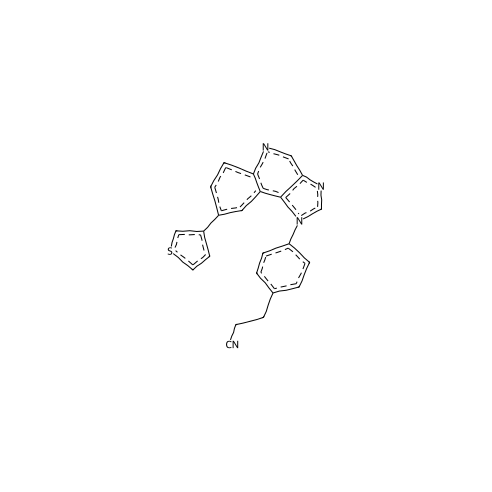 N#CCCc1ccc(-n2cnc3cnc4ccc(-c5ccsc5)cc4c32)cc1